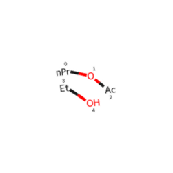 CCCOC(C)=O.CCO